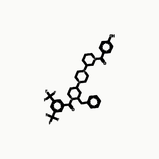 O=C(c1ccc(O)cc1)N1CCCC(N2CCN(C3CCN(C(=O)c4cc(C(F)(F)F)cc(C(F)(F)F)c4)C(Cc4ccccc4)C3)CC2)C1